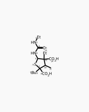 CCNC(=O)NC1SC(C(=O)O)(C(C)(C)C)C(C)C1(CC)C(=O)O